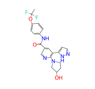 CC(F)(F)Oc1ccc(NC(=O)c2cnc(N3CCC(O)C3)c(-c3ccn[nH]3)c2)cc1